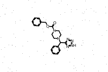 O=C(OCc1ccccc1)N1CCN(C(c2ccccc2)c2nn[nH]n2)CC1